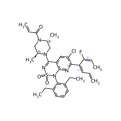 C=C/C=C(\C(F)=C/C)c1nc2c(cc1Cl)C(N1C[C@@H](C)N(C(=O)C=C)C[C@@H]1C)=NS(=O)(=O)N2c1c(CC)cccc1CC